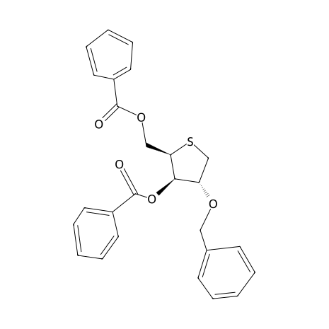 O=C(OC[C@H]1SC[C@H](OCc2ccccc2)[C@H]1OC(=O)c1ccccc1)c1ccccc1